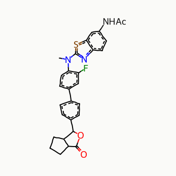 CC(=O)Nc1ccc2nc(N(C)c3ccc(-c4ccc(C5OC(=O)C6CCCC65)cc4)cc3F)sc2c1